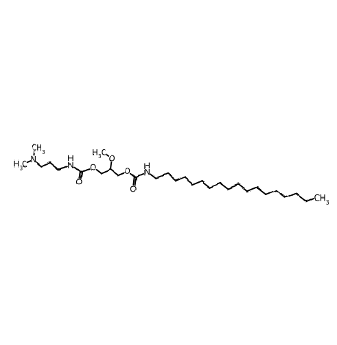 CCCCCCCCCCCCCCCCCCNC(=O)OCC(COC(=O)NCCCN(C)C)OC